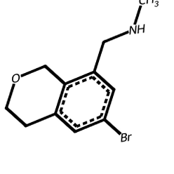 CNCc1cc(Br)cc2c1COCC2